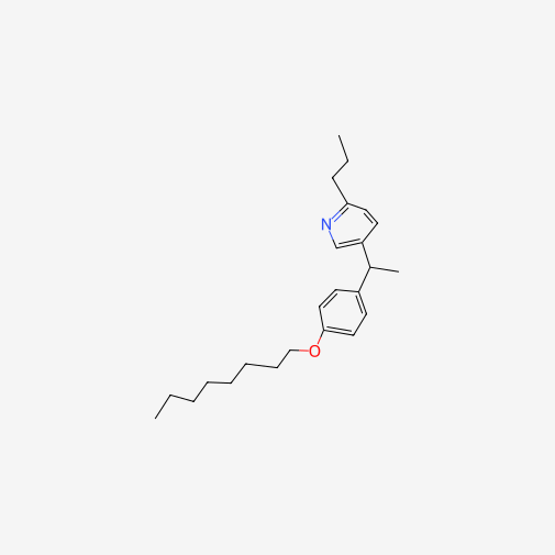 CCCCCCCCOc1ccc(C(C)c2ccc(CCC)nc2)cc1